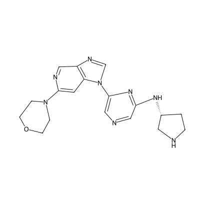 c1ncc(-n2cnc3cnc(N4CCOCC4)cc32)nc1N[C@@H]1CCNC1